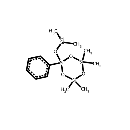 C[SiH](C)O[Si]1(c2ccccc2)O[Si](C)(C)O[Si](C)(C)O1